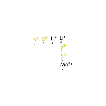 [Li+].[Li+].[Mo+6].[S-2].[S-2].[S-2].[S-2]